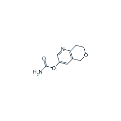 NC(=O)Oc1cnc2c(c1)COCC2